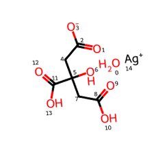 O.O=C([O-])CC(O)(CC(=O)O)C(=O)O.[Ag+]